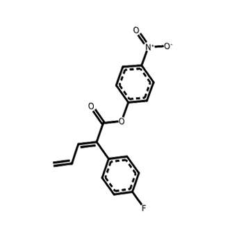 C=C/C=C(/C(=O)Oc1ccc([N+](=O)[O-])cc1)c1ccc(F)cc1